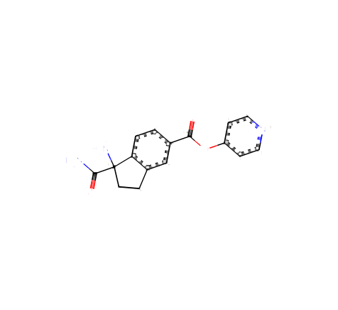 NC(=O)C1(N)CCc2cc(C(=O)Oc3ccncc3)ccc21